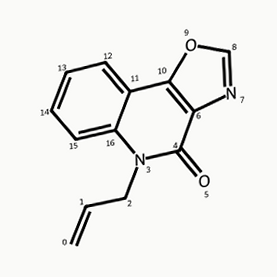 C=CCn1c(=O)c2ncoc2c2ccccc21